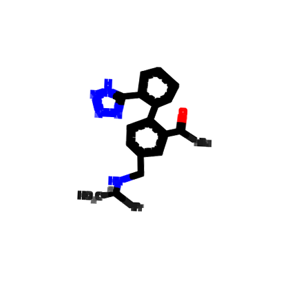 CCCCC(=O)c1cc(CN[C@H](C(=O)O)C(C)C)ccc1-c1ccccc1-c1nnn[nH]1